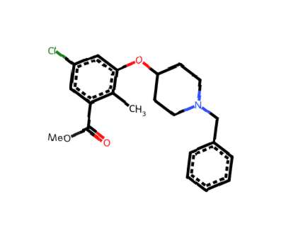 COC(=O)c1cc(Cl)cc(OC2CCN(Cc3ccccc3)CC2)c1C